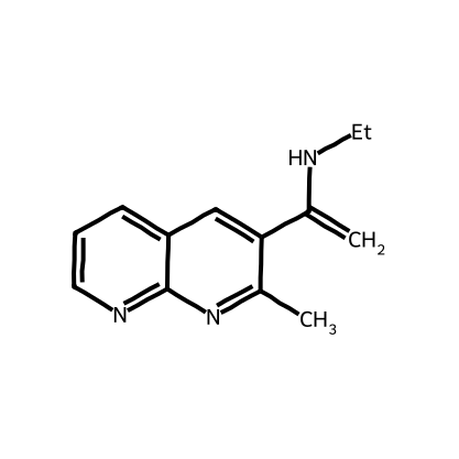 C=C(NCC)c1cc2cccnc2nc1C